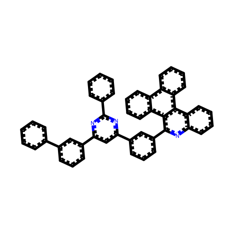 c1ccc(-c2cccc(-c3cc(-c4cccc(-c5nc6ccccc6c6c7ccccc7c7ccccc7c56)c4)nc(-c4ccccc4)n3)c2)cc1